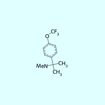 CNC(C)(C)c1ccc(OC(F)(F)F)cc1